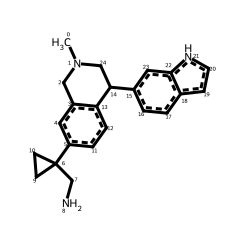 CN1Cc2cc(C3(CN)CC3)ccc2C(c2ccc3cc[nH]c3c2)C1